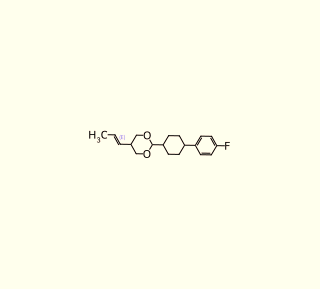 C/C=C/C1COC(C2CCC(c3ccc(F)cc3)CC2)OC1